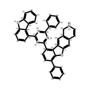 C1=Cc2cc3oc4c(-c5ccccc5)ccc(-c5nc(-c6ccccc6)nc(-c6cccc7oc8ccccc8c67)n5)c4c3cc2CN1